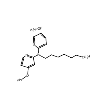 CCCOc1ccnc(N(CCCCCCC(=O)O)c2ccccn2)c1.NO